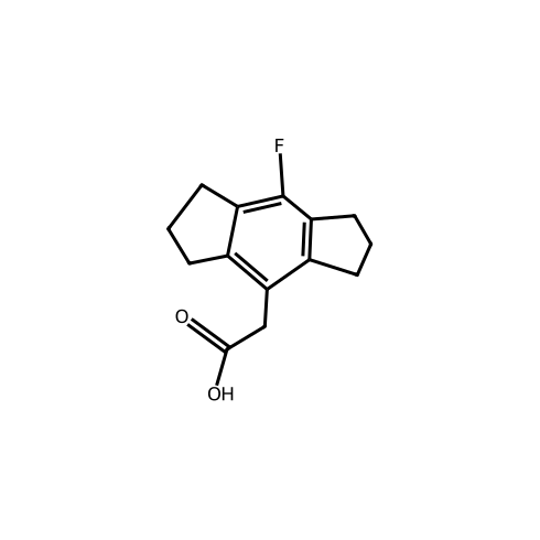 O=C(O)Cc1c2c(c(F)c3c1CCC3)CCC2